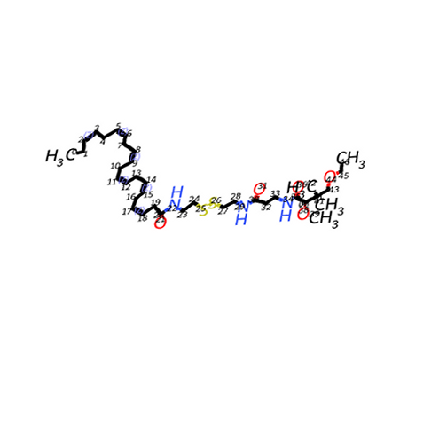 CC/C=C\C/C=C\C/C=C\C/C=C\C/C=C\C/C=C\CC(=O)NCCSSCCNC(=O)CCNC(=O)[C@H](OC)C(C)(C)COCC